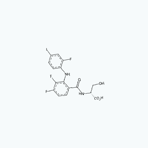 O=C(N[C@H](CO)C(=O)O)c1ccc(F)c(F)c1Nc1ccc(I)cc1F